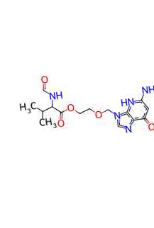 CC(C)C(NC=O)C(=O)OCCOCn1cnc2c(=O)cc(N)[nH]c21